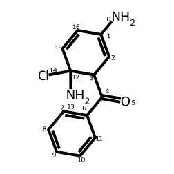 NC1=CC(C(=O)c2ccccc2)C(N)(Cl)C=C1